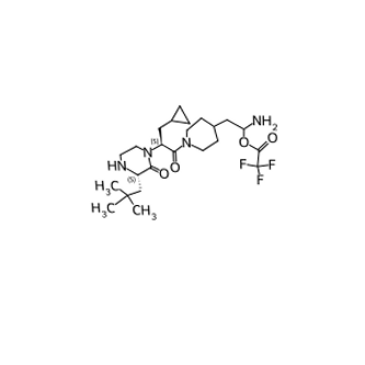 CC(C)(C)C[C@@H]1NCCN([C@@H](CC2CC2)C(=O)N2CCC(CC(N)OC(=O)C(F)(F)F)CC2)C1=O